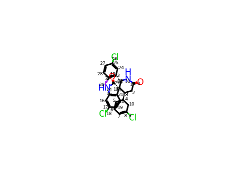 O=C1C[C@@H](C2C=CC=C(Cl)C2)[C@]2(C(=O)Nc3cc(Cl)ccc32)[C@H](c2cc(Cl)ccc2I)N1